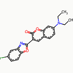 CCN(CC)c1ccc2cc(-c3nc4cc(Br)ccc4o3)c(=O)oc2c1